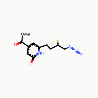 COC(=O)c1cc(CCC(F)CN=[N+]=[N-])[nH]c(=O)c1